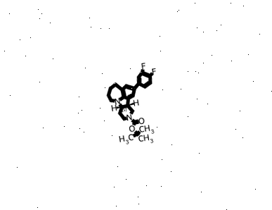 CC(C)(C)OC(=O)N1CC[C@H]2[C@@H](C1)c1cc(-c3ccc(F)c(F)c3)cc3c1N2CCCC3